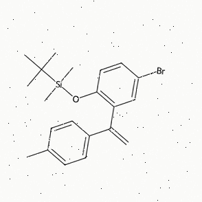 C=C(c1ccc(C)cc1)c1cc(Br)ccc1O[Si](C)(C)C(C)(C)C